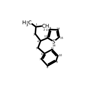 CC(C)CC(Cc1ccccc1)c1cccs1